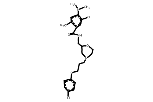 COc1cc(N(C)C)c(Cl)cc1C(=O)NCC1CN(CCCOc2ccc(Cl)cc2)CCO1